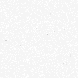 O=C(C=Cc1ccc(O)c(O)c1)OC1CC(OC(=O)C=Cc2ccc(O)c(O)c2)(C(=O)O)CC(O)C1O